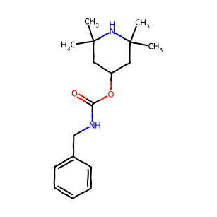 CC1(C)CC(OC(=O)NCc2ccccc2)CC(C)(C)N1